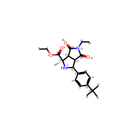 CCOC(=O)[C@]1(C)NC(c2ccc(C(C)(C)C)cc2)C2C(=O)N(CC)C(=O)C21